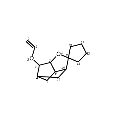 C=COC1C2CC3C1OC1(CCCC1)C3C2